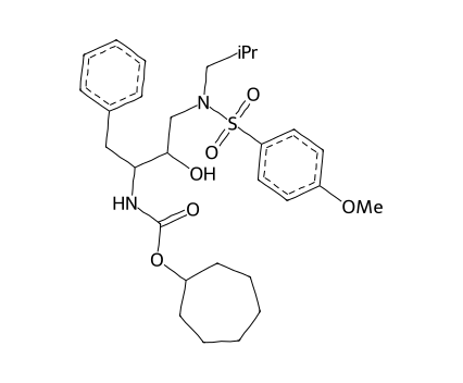 COc1ccc(S(=O)(=O)N(CC(C)C)CC(O)C(Cc2ccccc2)NC(=O)OC2CCCCCC2)cc1